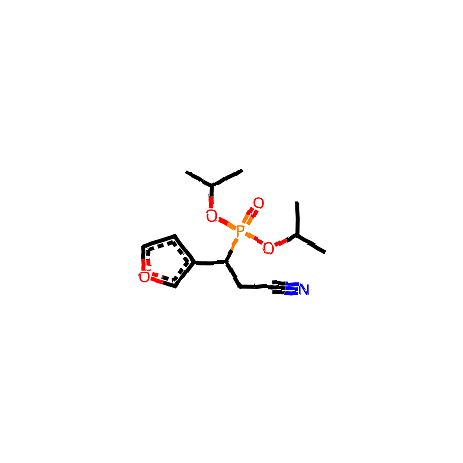 CC(C)OP(=O)(OC(C)C)C(CC#N)c1ccoc1